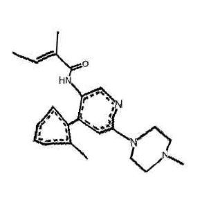 CC=C(C)C(=O)Nc1cnc(N2CCN(C)CC2)cc1-c1ccccc1C